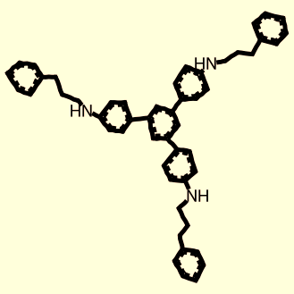 c1ccc(CCCNc2ccc(-c3cc(-c4ccc(NCCCc5ccccc5)cc4)cc(-c4ccc(NCCCc5ccccc5)cc4)c3)cc2)cc1